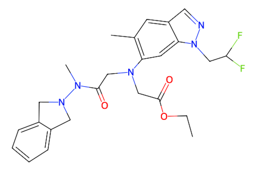 CCOC(=O)CN(CC(=O)N(C)N1Cc2ccccc2C1)c1cc2c(cnn2CC(F)F)cc1C